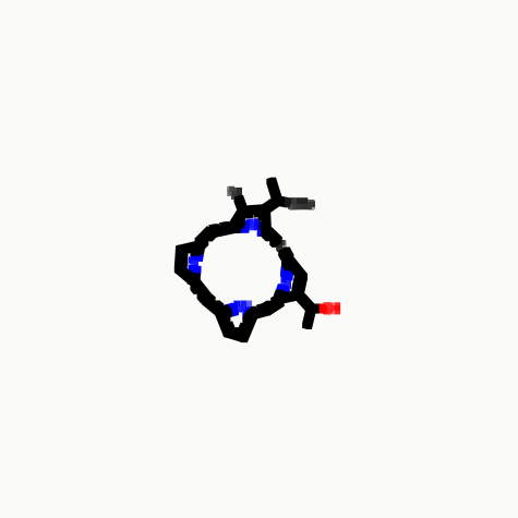 [2H]c1c(C(C)OC)c2cc3nc(cc4ccc(cc5nc(cc1[nH]2)C=C5)[nH]4)C(C(C)O)=C3